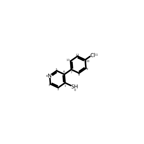 Sc1ccncc1-c1ccc(Cl)cc1